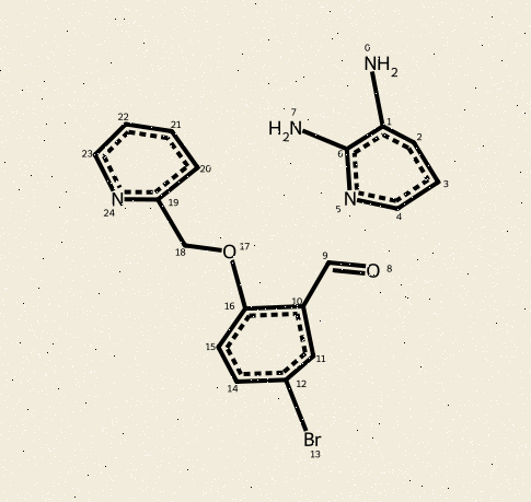 Nc1cccnc1N.O=Cc1cc(Br)ccc1OCc1ccccn1